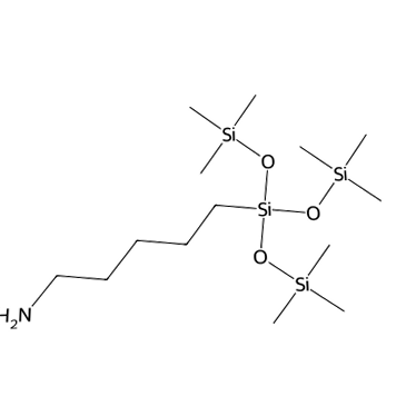 C[Si](C)(C)O[Si](CCCCCN)(O[Si](C)(C)C)O[Si](C)(C)C